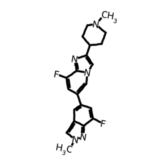 CN1CCC(c2cn3cc(-c4cc(F)c5nn(C)cc5c4)cc(F)c3n2)CC1